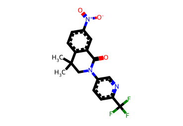 CC1(C)CN(c2ccc(C(F)(F)F)nc2)C(=O)c2cc([N+](=O)[O-])ccc21